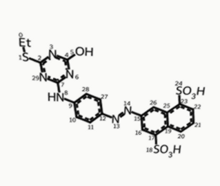 CCSc1nc(O)nc(Nc2ccc(/N=N/c3cc(S(=O)(=O)O)c4cccc(S(=O)(=O)O)c4c3)cc2)n1